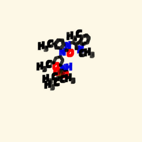 CCCC(CC(=O)NS(=O)(=O)C(C)(C)C)n1c(=O)n(Cc2cn(C)c3cccc(C)c23)c2ccc(C)cc21